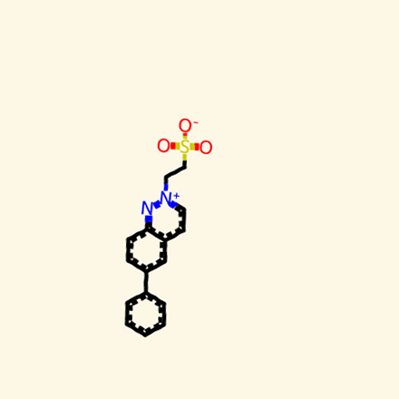 O=S(=O)([O-])CC[n+]1ccc2cc(-c3ccccc3)ccc2n1